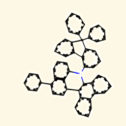 c1ccc(-c2ccc(-c3c(N(c4ccccc4)c4cccc5c4-c4ccccc4C5(c4ccccc4)c4ccccc4)c4ccccc4c4ccccc34)cc2)cc1